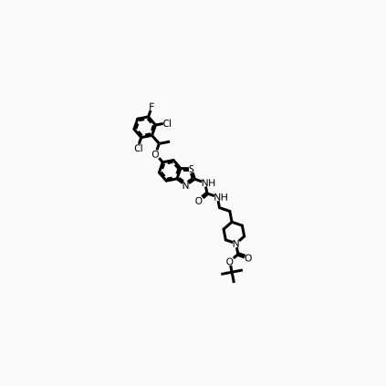 CC(Oc1ccc2nc(NC(=O)NCCC3CCN(C(=O)OC(C)(C)C)CC3)sc2c1)c1c(Cl)ccc(F)c1Cl